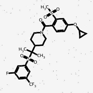 CC(C)(C1CCN(C(=O)c2ccc(OC3CC3)cc2S(C)(=O)=O)CC1)S(=O)(=O)c1cc(F)cc(C(F)(F)F)c1